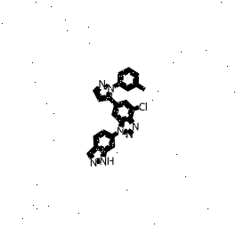 Cc1cccc(-n2nccc2-c2cc(Cl)c3nnn(-c4ccc5cn[nH]c5c4)c3c2)c1